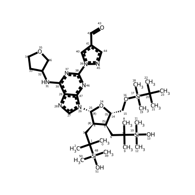 CC(C)(C[C@@H]1[C@H](CC(C)(C)[Si](C)(C)O)[C@@H](CO[Si](C)(C)C(C)(C)C)O[C@H]1n1cnc2c(NC3CCOC3)nc(-n3cc(C=O)cn3)nc21)[Si](C)(C)O